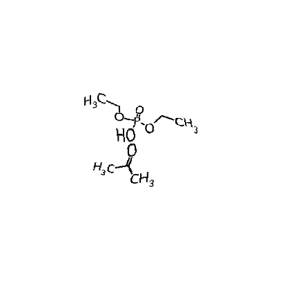 CC(C)=O.CCOP(=O)(O)OCC